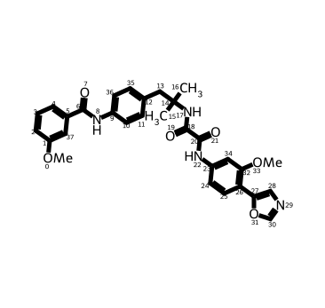 COc1cccc(C(=O)Nc2ccc(CC(C)(C)NC(=O)C(=O)Nc3ccc(-c4cnco4)c(OC)c3)cc2)c1